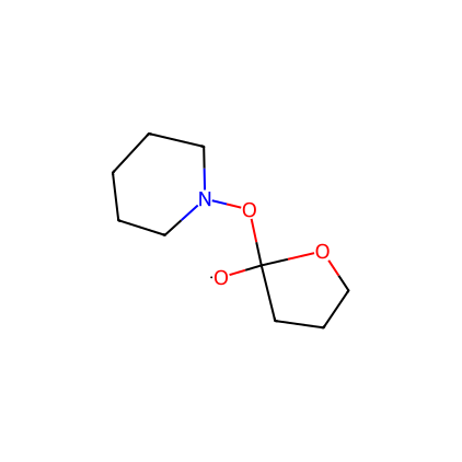 [O]C1(ON2CCCCC2)CCCO1